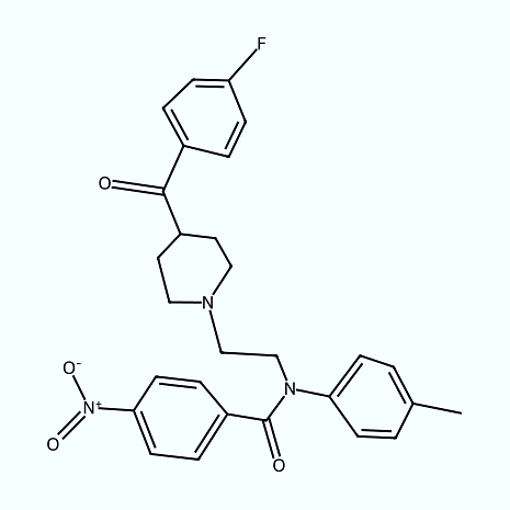 Cc1ccc(N(CCN2CCC(C(=O)c3ccc(F)cc3)CC2)C(=O)c2ccc([N+](=O)[O-])cc2)cc1